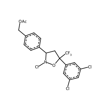 CC(=O)OCc1ccc(C2CC(c3cc(Cl)cc(Cl)c3)(C(F)(F)F)ON2Cl)cc1